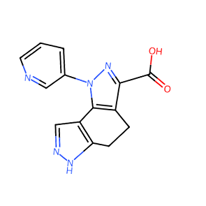 O=C(O)c1nn(-c2cccnc2)c2c1CCc1[nH]ncc1-2